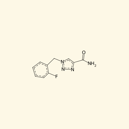 NC(=O)c1cn(Cc2ccccc2F)nn1